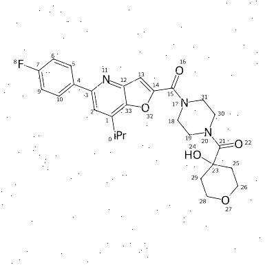 CC(C)c1cc(-c2ccc(F)cc2)nc2cc(C(=O)N3CCN(C(=O)C4(O)CCOCC4)CC3)oc12